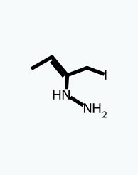 CC=C(CI)NN